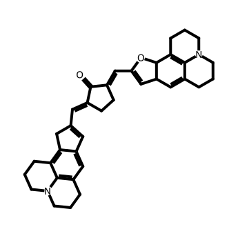 O=C1C(=CC2=Cc3cc4c5c(c3C2)CCCN5CCC4)CCC1=CC1=CC2C=C3CCCN4CCCC(=C34)C2O1